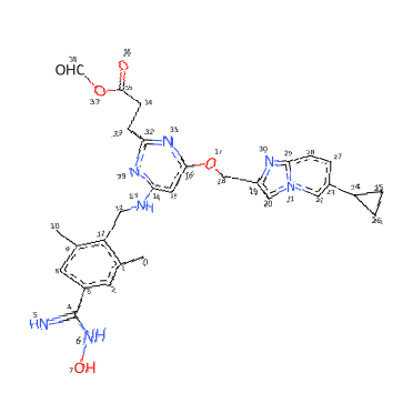 Cc1cc(C(=N)NO)cc(C)c1CNc1cc(OCc2cn3cc(C4CC4)ccc3n2)nc(CCC(=O)OC=O)n1